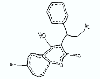 CC(=O)CC(c1ccccc1)c1c(O)c2cc(Br)ccc2oc1=O